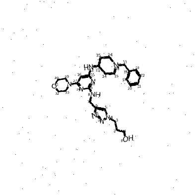 OCCCn1cc(CNc2nc(NC3CCN(Cc4ccccc4)CC3)cc(N3CCOCC3)n2)nn1